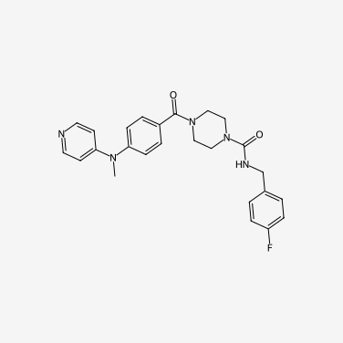 CN(c1ccncc1)c1ccc(C(=O)N2CCN(C(=O)NCc3ccc(F)cc3)CC2)cc1